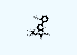 COc1ccccc1-c1ccc2c(n1)n(C)c(=O)n2CC(C)(C)C